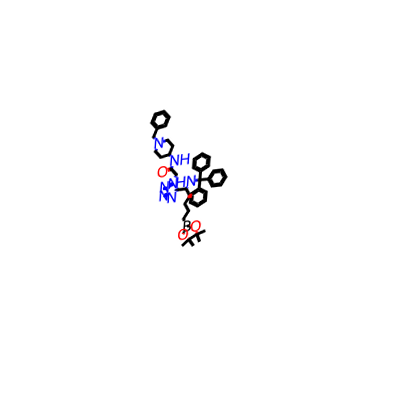 CC1(C)OB(CCCCC(NC(c2ccccc2)(c2ccccc2)c2ccccc2)c2nnnn2CC(=O)NC2CCN(Cc3ccccc3)CC2)OC1(C)C